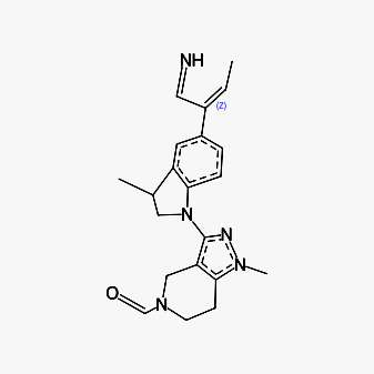 C/C=C(\C=N)c1ccc2c(c1)C(C)CN2c1nn(C)c2c1CN(C=O)CC2